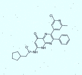 Cc1cc(-c2nc3c(=O)cc(N[S+]([O-])CC4CCCC4)[nH]c3nc2-c2ccccc2)cc(Cl)n1